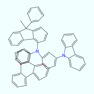 CC1(c2ccccc2)c2ccccc2-c2c(N(c3cccc(-n4c5ccccc5c5ccccc54)c3)c3ccccc3-c3ccccc3-c3ccccc3-c3ccccc3)cccc21